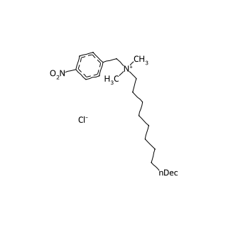 CCCCCCCCCCCCCCCCCC[N+](C)(C)Cc1ccc([N+](=O)[O-])cc1.[Cl-]